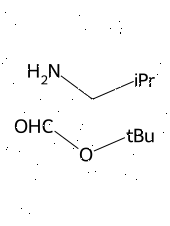 CC(C)(C)OC=O.CC(C)CN